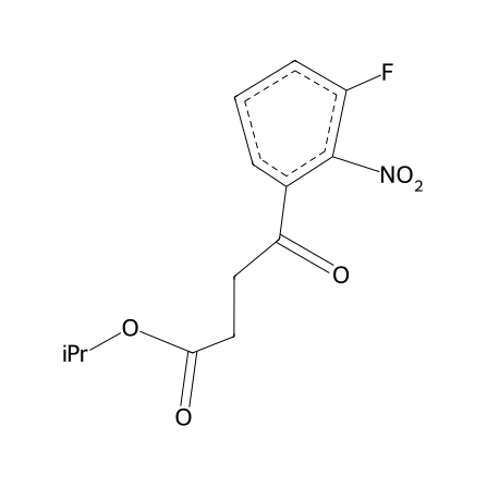 CC(C)OC(=O)CCC(=O)c1cccc(F)c1[N+](=O)[O-]